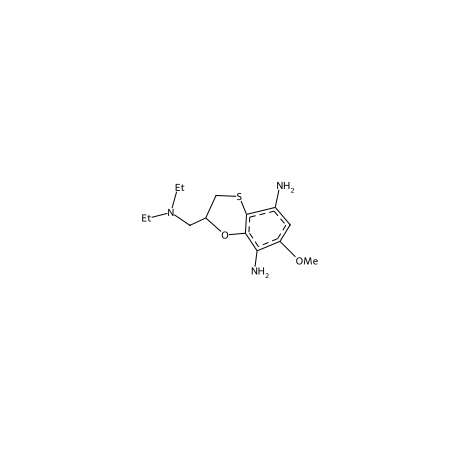 CCN(CC)CC1CSc2c(N)cc(OC)c(N)c2O1